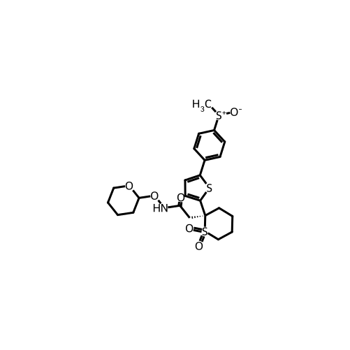 C[S+]([O-])c1ccc(-c2ccc([C@@]3(CC(=O)NOC4CCCCO4)CCCCS3(=O)=O)s2)cc1